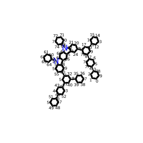 c1ccc(-c2ccc(-c3cc(-c4ccccc4)cc(-c4ccc5c(c4)c4cc6c7cc(-c8cc(-c9ccccc9)cc(-c9ccc(-c%10ccccc%10)cc9)c8)ccc7n(-c7ccccc7)c6cc4n5-c4ccccc4)c3)cc2)cc1